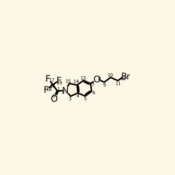 O=C(N1Cc2ccc(OCCCBr)cc2C1)C(F)(F)F